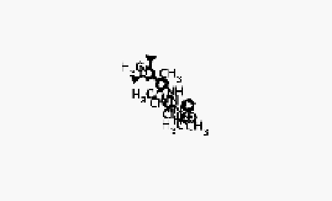 Cc1cc(Nc2ncc(Cl)c(Nc3ccccc3S(=O)(=O)C(C)C)n2)c(OC(C)C)cc1C1=CC(C2CC2)N(C)C(C2CC2)C1